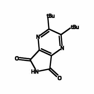 CC(C)(C)c1nc2c(nc1C(C)(C)C)C(=O)NC2=O